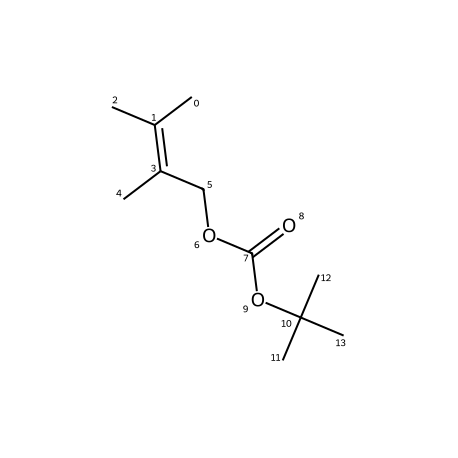 CC(C)=C(C)COC(=O)OC(C)(C)C